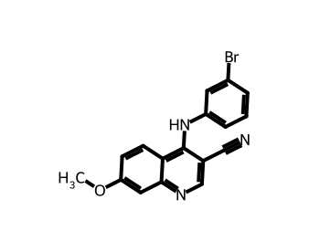 COc1ccc2c(Nc3cccc(Br)c3)c(C#N)cnc2c1